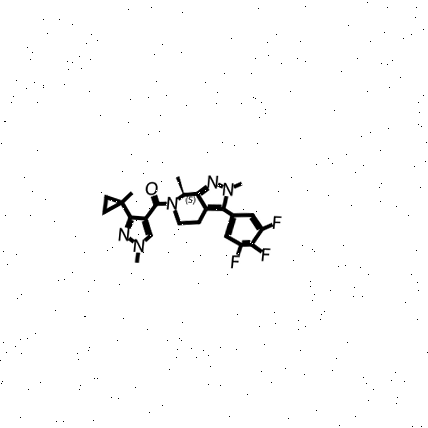 C[C@H]1c2nn(C)c(-c3cc(F)c(F)c(F)c3)c2CCN1C(=O)c1cn(C)nc1C1(C)CC1